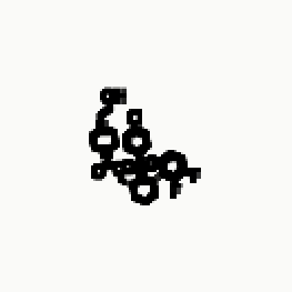 O=C(OC[C@H]1CCC[C@@H](c2cccc(F)c2F)N1S(=O)(=O)c1ccc(Cl)cc1)N1CCN(CCO)CC1